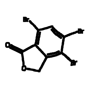 O=C1OCc2c(Br)c(Br)cc(Br)c21